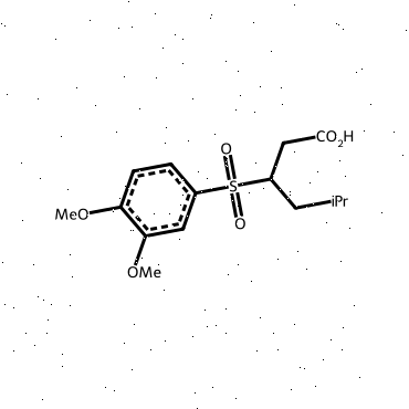 COc1ccc(S(=O)(=O)C(CC(=O)O)CC(C)C)cc1OC